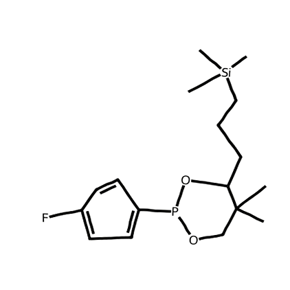 CC1(C)COP(c2ccc(F)cc2)OC1CCC[Si](C)(C)C